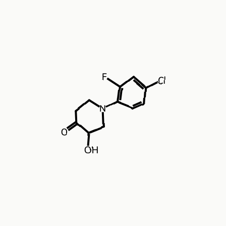 O=C1CCN(c2ccc(Cl)cc2F)CC1O